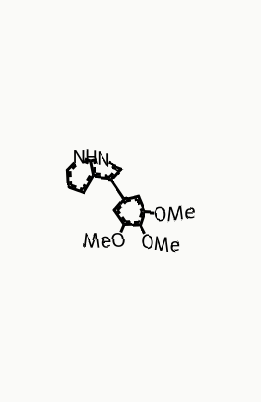 COc1cc(-c2c[nH]c3ncccc23)cc(OC)c1OC